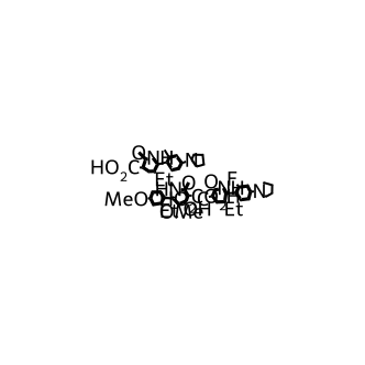 CCc1c(-c2ccc(OC)cc2OC)[nH]c(=O)c(C(=O)O)c1O.CCc1cc(C(=O)O)c(=O)[nH]c1-c1ccc(N2CCCC2)cc1C.CCc1cc(C(=O)O)c(=O)[nH]c1-c1ccc(N2CCCC2)cc1F